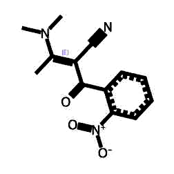 C/C(=C(/C#N)C(=O)c1ccccc1[N+](=O)[O-])N(C)C